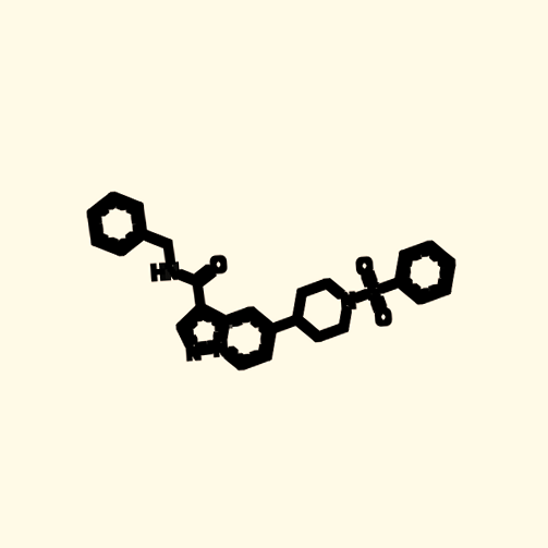 O=C(NCc1ccccc1)c1cnn2ccc(C3CCN(S(=O)(=O)c4ccccc4)CC3)cc12